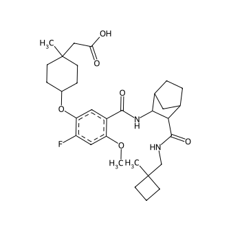 COc1cc(F)c(OC2CCC(C)(CC(=O)O)CC2)cc1C(=O)NC1C2CCC(C2)C1C(=O)NCC1(C)CCC1